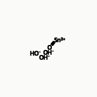 [OH-].[OH-].[OH-].[O]=[Sn+3]